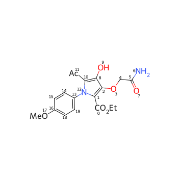 CCOC(=O)c1c(OCC(N)=O)c(O)c(C(C)=O)n1-c1ccc(OC)cc1